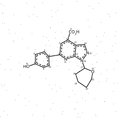 O=C(O)c1cc(-c2ccc(O)cc2)nc2c1cnn2C1CCCCO1